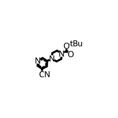 CC(C)(C)OC(=O)N1CCN(c2cncc(C#N)c2)CC1